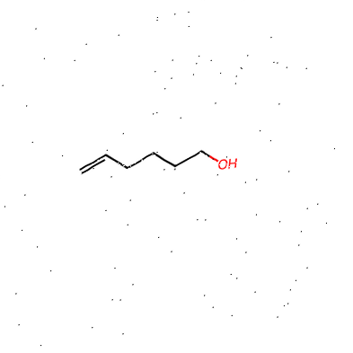 C=CCC[CH]CO